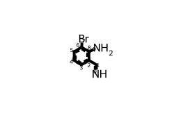 N=Cc1cccc(Br)c1N